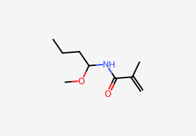 C=C(C)C(=O)NC(CCC)OC